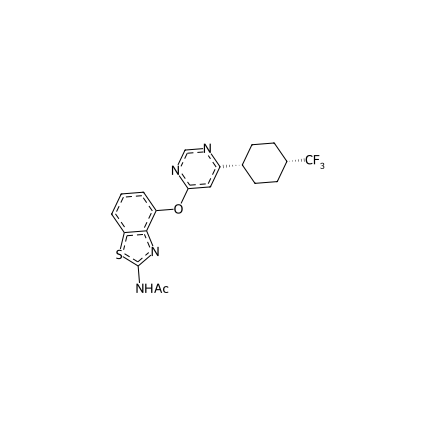 CC(=O)Nc1nc2c(Oc3cc([C@H]4CC[C@@H](C(F)(F)F)CC4)ncn3)cccc2s1